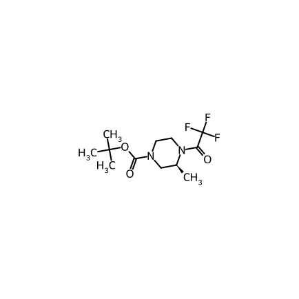 C[C@H]1CN(C(=O)OC(C)(C)C)CCN1C(=O)C(F)(F)F